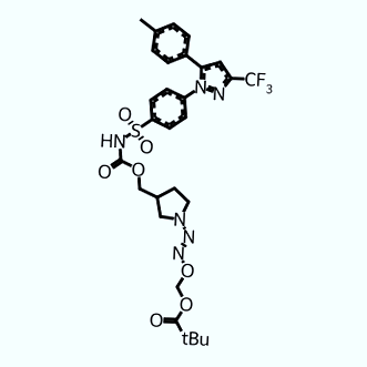 Cc1ccc(-c2cc(C(F)(F)F)nn2-c2ccc(S(=O)(=O)NC(=O)OCC3CCN(N=NOCOC(=O)C(C)(C)C)C3)cc2)cc1